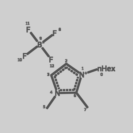 CCCCCC[n+]1ccn(C)c1C.F[B-](F)(F)F